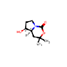 CC1(C)C[C@H]2[C@@H](O)CCN2C(=O)O1